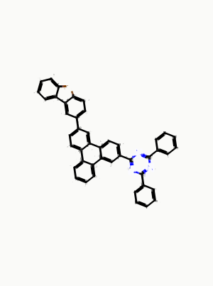 c1ccc(-c2nc(-c3ccccc3)nc(-c3ccc4c5cc(-c6ccc7sc8ccccc8c7c6)ccc5c5ccccc5c4c3)n2)cc1